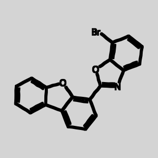 Brc1cccc2nc(-c3cccc4c3oc3ccccc34)oc12